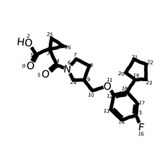 O=C(O)C1(C(=O)N2CCC(COc3ccc(F)cc3C3CCCC3)C2)CC1